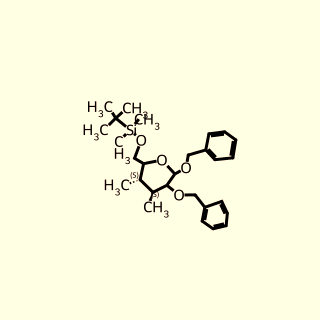 C[C@@H]1C(CO[Si](C)(C)C(C)(C)C)OC(OCc2ccccc2)C(OCc2ccccc2)[C@H]1C